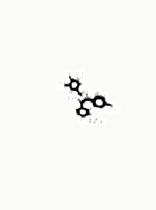 COc1ccc(-c2[nH]c(-c3cc(Cl)c(C)c(Cl)c3)nc2-c2ccc(CO)cc2)cc1